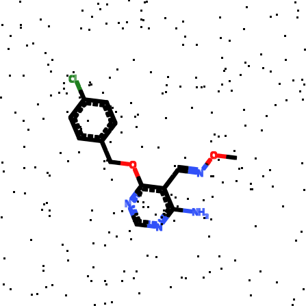 CO/N=C/c1c(N)ncnc1OCc1ccc(Cl)cc1